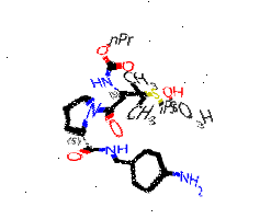 CCCOC(=O)N[C@@H](C(=O)N1CCC[C@H]1C(=O)NCC1CCC(N)CC1)C(C)(C)SC(C)C.O=S(=O)(O)O